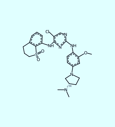 COc1cc(N2CC[C@H](N(C)C)C2)ccc1Nc1ncc(Cl)c(Nc2cccc3c2S(=O)(=O)CCC3)n1